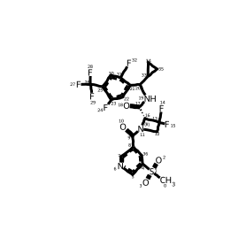 CS(=O)(=O)c1cncc(C(=O)N2CC(F)(F)[C@H]2C(=O)NC(c2cc(F)c(C(F)(F)F)cc2F)C2CC2)c1